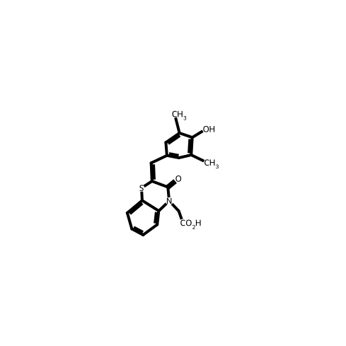 Cc1cc(C=C2Sc3ccccc3N(CC(=O)O)C2=O)cc(C)c1O